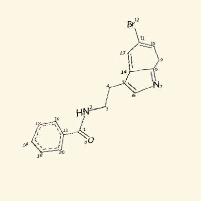 O=C(NCCC1=CN=C2CC=C(Br)C=C12)c1ccccc1